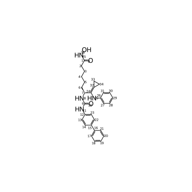 O=C(CCCCC[C@H](NC(=O)Nc1ccc(-c2ccccc2)cc1)C(Nc1ccccc1)=C1CC1)NO